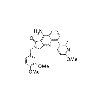 COc1ccc(-c2cccc3c(N)c4c(nc23)CN(Cc2ccc(OC)c(OC)c2)C4=O)c(C)n1